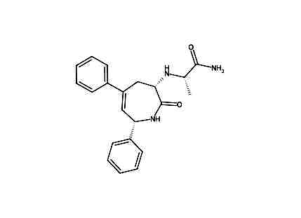 C[C@H](N[C@H]1CC(c2ccccc2)=C[C@@H](c2ccccc2)NC1=O)C(N)=O